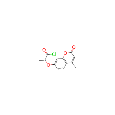 Cc1cc(=O)oc2cc(OC(C)C(=O)Cl)ccc12